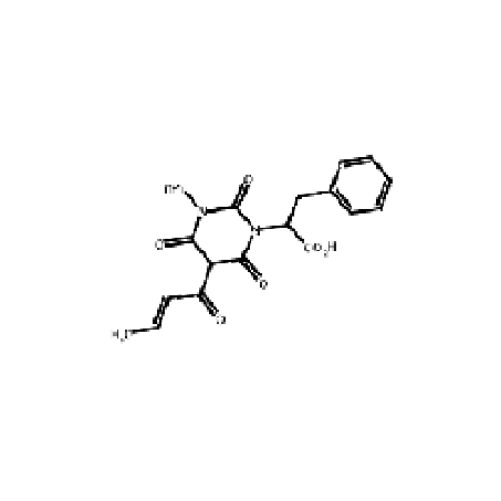 CC=CC(=O)C1C(=O)N(CCC)C(=O)N(C(Cc2ccccc2)C(=O)O)C1=O